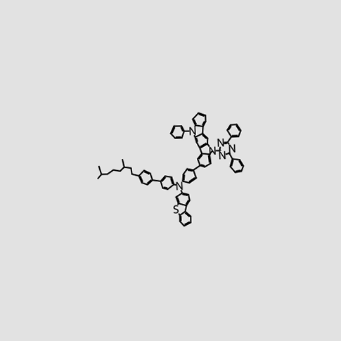 CC(C)CCCC(C)CCc1ccc(-c2ccc(N(c3ccc(-c4ccc5c(c4)c4cc6c(cc4n5-c4nc(-c5ccccc5)nc(-c5ccccc5)n4)c4ccccc4n6-c4ccccc4)cc3)c3ccc4c(c3)sc3ccccc34)cc2)cc1